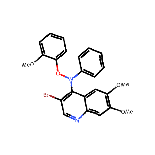 COc1cc2ncc(Br)c(N(Oc3ccccc3OC)c3ccccc3)c2cc1OC